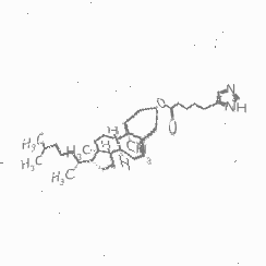 CC(C)CCC[C@@H](C)[C@H]1CC[C@H]2[C@@H]3CC=C4C[C@@H](OC(=O)CCCCc5cnc[nH]5)CC[C@]4(C)[C@H]3CC[C@]12C